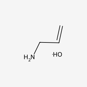 C=CCN.[OH]